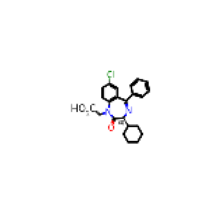 O=C(O)CN1C(=O)[C@H](C2CCCCC2)N=C(c2ccccc2)c2cc(Cl)ccc21